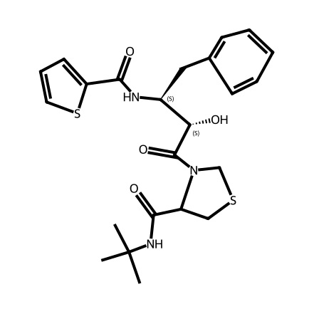 CC(C)(C)NC(=O)C1CSCN1C(=O)[C@@H](O)[C@H](Cc1ccccc1)NC(=O)c1cccs1